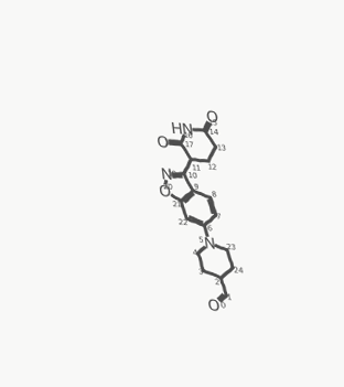 O=CC1CCN(c2ccc3c(C4CCC(=O)NC4=O)noc3c2)CC1